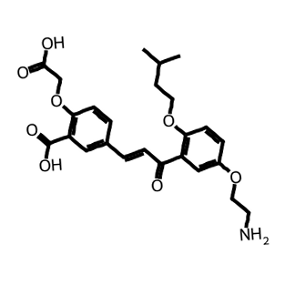 CC(C)CCOc1ccc(OCCN)cc1C(=O)C=Cc1ccc(OCC(=O)O)c(C(=O)O)c1